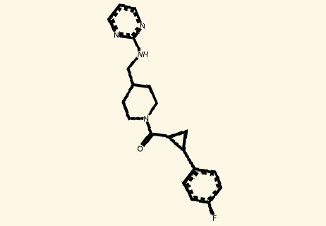 O=C(C1CC1c1ccc(F)cc1)N1CCC(CNc2ncccn2)CC1